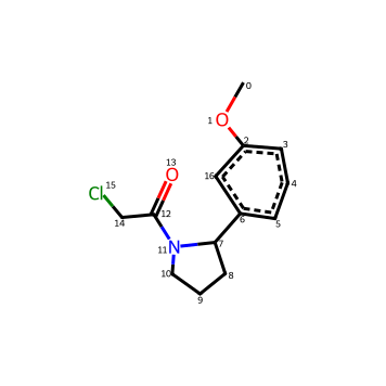 COc1cccc(C2CCCN2C(=O)CCl)c1